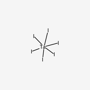 [I][Ta]([I])([I])([I])([I])[I]